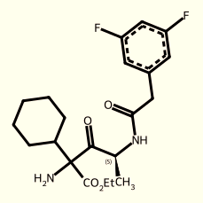 CCOC(=O)C(N)(C(=O)[C@H](C)NC(=O)Cc1cc(F)cc(F)c1)C1CCCCC1